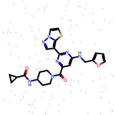 O=C(NC1CCN(C(=O)c2cc(NCc3ccco3)nc(-c3cnn4ccsc34)n2)CC1)C1CC1